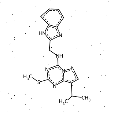 CSc1nc(NCc2nc3ccccc3[nH]2)n2ncc(C(C)C)c2n1